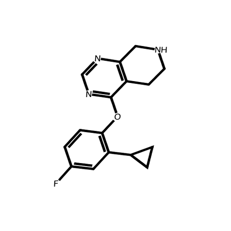 Fc1ccc(Oc2ncnc3c2CCNC3)c(C2CC2)c1